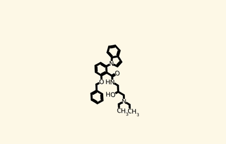 CCN(CC)CC(O)CNC(=O)c1c(OCc2ccccc2)cccc1-n1ccc2ccccc21